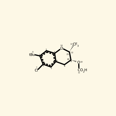 CC(C)(C)c1cc2c(cc1Cl)C[C@@H](OC(=O)O)[C@@H](C(F)(F)F)O2